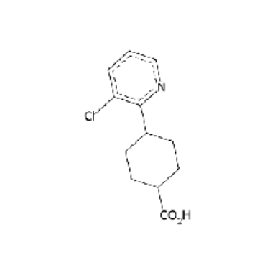 O=C(O)C1CCC(c2ncccc2Cl)CC1